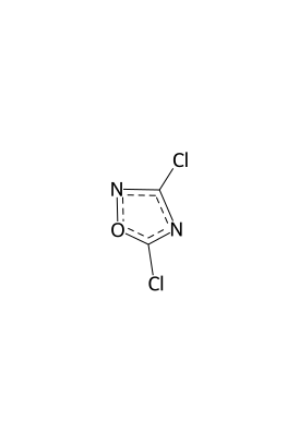 Clc1noc(Cl)n1